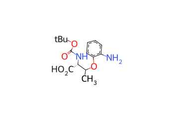 CC(Oc1ccccc1N)[C@@H](NC(=O)OC(C)(C)C)C(=O)O